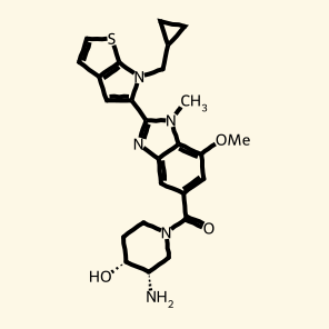 COc1cc(C(=O)N2CC[C@@H](O)[C@@H](N)C2)cc2nc(-c3cc4ccsc4n3CC3CC3)n(C)c12